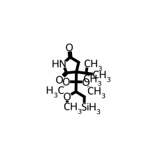 COC(C[SiH3])C(OC)(OC)C1(C(C)(C)C)CC(=O)NC1=O